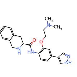 CN(C)CCOc1cc(-c2cn[nH]c2)ccc1NC(=O)[C@@H]1Cc2ccccc2CN1